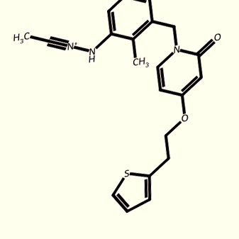 CC#[N+]Nc1cccc(Cn2ccc(OCCc3cccs3)cc2=O)c1C